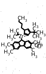 CCCCC1C=C(C(C)(C)C)C=[C]1[Zr+2](=[C](C)C)[CH]1c2cc(C)c(C)cc2-c2cc(C)c(C)cc21.[Cl-].[Cl-]